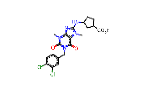 Cn1c(NC2CCC(C(=O)O)C2)nc2c1c(=O)n(Cc1ccc(Cl)c(Cl)c1)c(=O)n2C